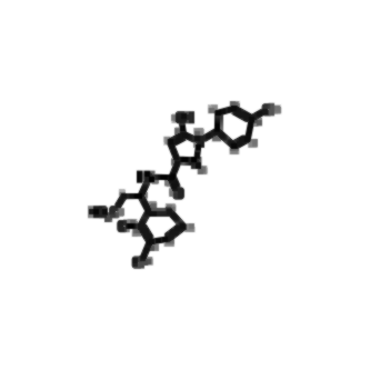 O=C(O)CC(NC(=O)c1cc(O)n(-c2ccc(Cl)cc2)n1)c1cccc(Cl)c1Cl